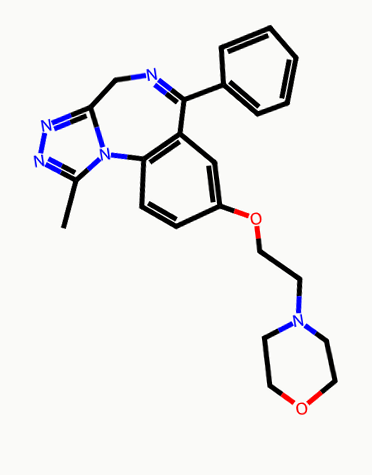 Cc1nnc2n1-c1ccc(OCCN3CCOCC3)cc1C(c1ccccc1)=NC2